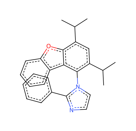 CC(C)c1cc(C(C)C)c2oc3ccccc3c2c1-n1ccnc1-c1ccccc1